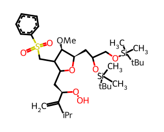 C=C(C(C)C)[C@@H](CC1O[C@H](CC(CO[Si](C)(C)C(C)(C)C)O[Si](C)(C)C(C)(C)C)[C@H](OC)C1CS(=O)(=O)c1ccccc1)OO